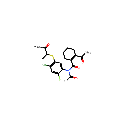 CCC(=O)N(C(=O)C1=C(C(=O)OC)CCCC1)c1cc(SC(C)C(=O)OC)c(Cl)cc1F